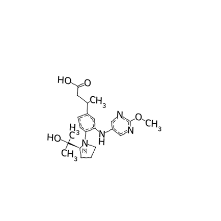 COc1ncc(Nc2cc(C(C)CC(=O)O)ccc2N2CCC[C@H]2C(C)(C)O)cn1